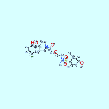 COc1cc(C)c(S(=O)(=O)N(C)CCOCC(=O)N2CCC(O)(c3cccc(F)c3)CC2)c(C)c1